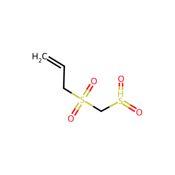 C=CCS(=O)(=O)C[SH](=O)=O